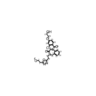 COCCc1nnc(CCN2Cc3ccccc3N(C(=O)c3ccc(OCCO)cc3Cl)CC2=O)o1